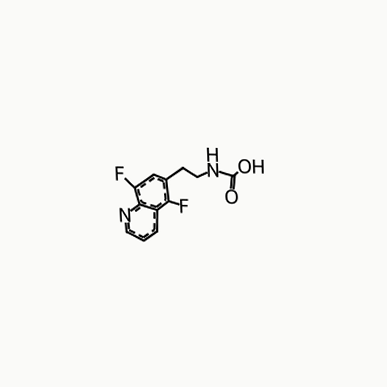 O=C(O)NCCc1cc(F)c2ncccc2c1F